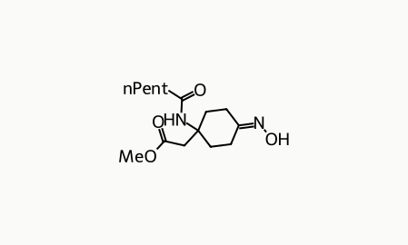 CCCCCC(=O)NC1(CC(=O)OC)CCC(=NO)CC1